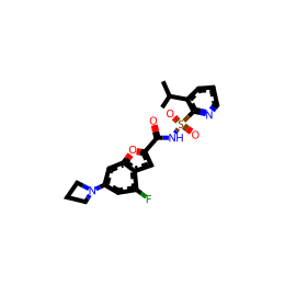 CC(C)c1cccnc1S(=O)(=O)NC(=O)c1cc2c(F)cc(N3CCC3)cc2o1